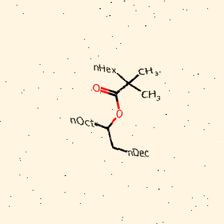 CCCCCCCCCCCC(CCCCCCCC)OC(=O)C(C)(C)CCCCCC